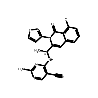 C[C@H](Nc1nc(N)ncc1C#N)c1cc2cccc(Cl)c2c(=O)n1-c1ccon1